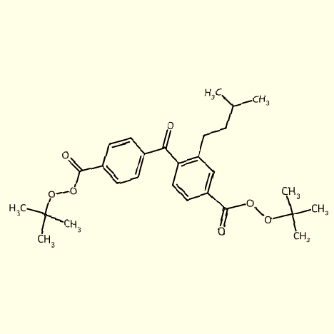 CC(C)CCc1cc(C(=O)OOC(C)(C)C)ccc1C(=O)c1ccc(C(=O)OOC(C)(C)C)cc1